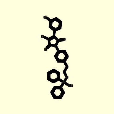 CC(C)(C)[Si](OCCc1ccc(N2C(=O)C(Cl)=C(c3cccc(Cl)c3)C2=O)cc1)(c1ccccc1)c1ccccc1